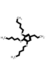 [CH2]CCc1cc(SCCCCC)c(SCCCCC)c(SCCCCC)c1